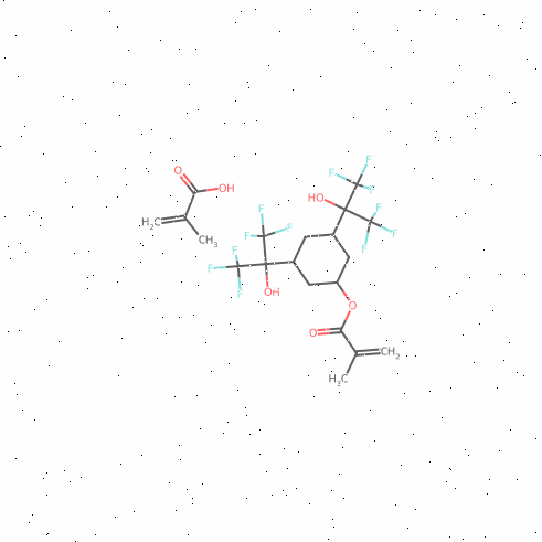 C=C(C)C(=O)O.C=C(C)C(=O)OC1CC(C(O)(C(F)(F)F)C(F)(F)F)CC(C(O)(C(F)(F)F)C(F)(F)F)C1